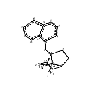 CC1(C)C2CCC1(Cc1cccc3ccccc13)C(=O)C2